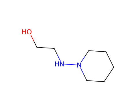 OCCNN1CCCCC1